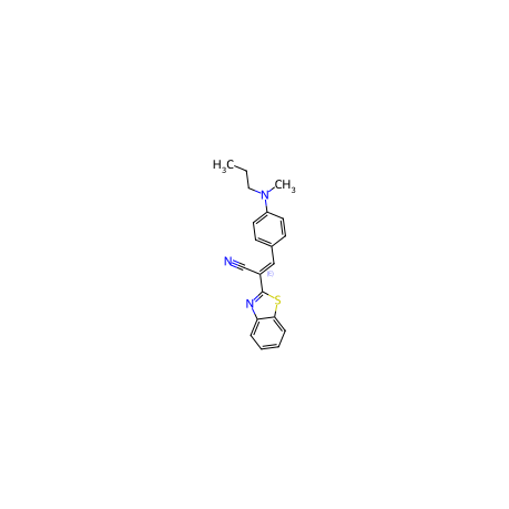 CCCN(C)c1ccc(/C=C(\C#N)c2nc3ccccc3s2)cc1